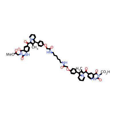 COC(=O)Cn1c(=O)[nH]c2ccc(C(=O)c3c(C)c(-c4ccc(OCC(=O)NCCCCCCNC(=O)COc5ccc(-c6c(C)c(C(=O)c7ccc8[nH]c(=O)n(CC(=O)O)c(=O)c8c7)n7ccccc67)cc5)cc4)c4ccccn34)cc2c1=O